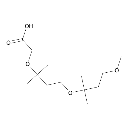 COCCC(C)(C)OCCC(C)(C)OCC(=O)O